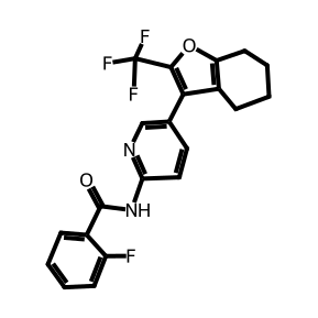 O=C(Nc1ccc(-c2c(C(F)(F)F)oc3c2CCCC3)cn1)c1ccccc1F